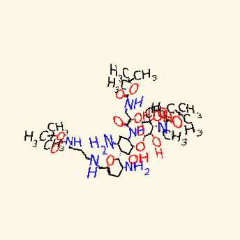 CN(C(=O)OC(C)(C)C)[C@@H]1[C@@H](O)[C@@H](O[C@H]2[C@H](NC(=O)[C@H](O)CNC(=O)OC(C)(C)C)C[C@H](N)C([C@H]3OC(CNCCCNC(=O)OC(C)(C)C)=CC[C@H]3N)[C@@H]2O)OC[C@]1(C)O